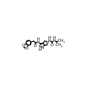 CC(C)NC(=O)NN1Cc2n[nH]c(NC(=O)Cc3ccc4c(c3)OCO4)c2C1